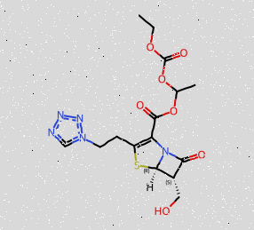 CCOC(=O)OC(C)OC(=O)C1=C(CCn2cnnn2)S[C@@H]2[C@@H](CO)C(=O)N12